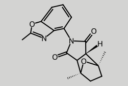 Cc1nc2c(N3C(=O)C4[C@H](C3=O)[C@@]3(C)CC[C@]4(C)O3)cccc2o1